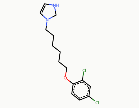 Clc1ccc(OCCCCCCN2C=CNC2)c(Cl)c1